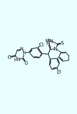 O=c1cnn(-c2ccc(C(c3ccc(Cl)cc3)c3n[nH]c(=S)n3C3=CCCC=C3)c(Cl)c2)c(=O)[nH]1